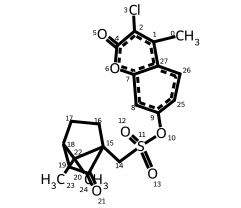 Cc1c(Cl)c(=O)oc2cc(OS(=O)(=O)CC34CCC(CC3=O)C4(C)C)ccc12